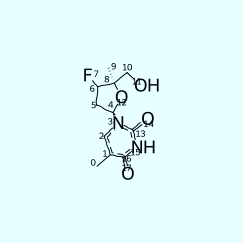 Cc1cn([C@H]2CC(F)[C@@](C)(CO)O2)c(=O)[nH]c1=O